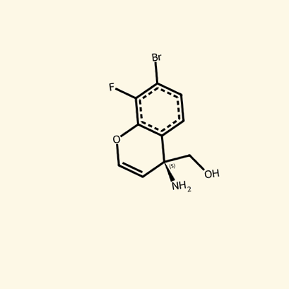 N[C@@]1(CO)C=COc2c1ccc(Br)c2F